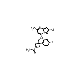 NC(=O)N1CC(CNc2cc(C(F)(F)F)nc3cc(Cl)nn23)(c2ccc(F)cc2)C1